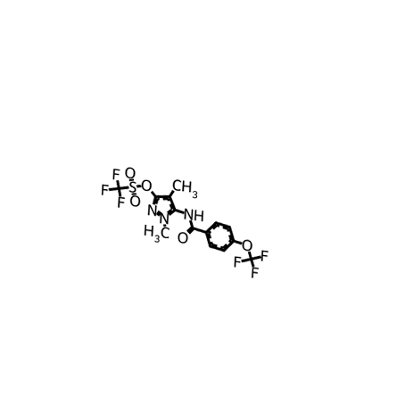 Cc1c(OS(=O)(=O)C(F)(F)F)nn(C)c1NC(=O)c1ccc(OC(F)(F)F)cc1